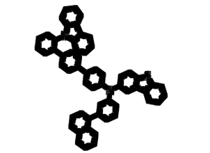 c1cc(-c2cccc3ccccc23)cc(N(c2ccc(-c3ccc(-c4ccccc4-n4c5ccccc5c5ccccc54)cc3)cc2)c2ccc3sc4ccccc4c3c2)c1